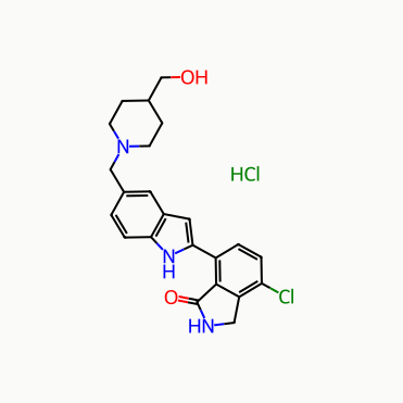 Cl.O=C1NCc2c(Cl)ccc(-c3cc4cc(CN5CCC(CO)CC5)ccc4[nH]3)c21